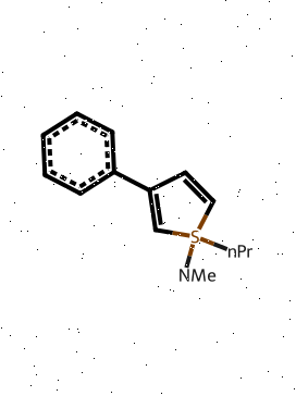 CCCS1(NC)C=CC(c2ccccc2)=C1